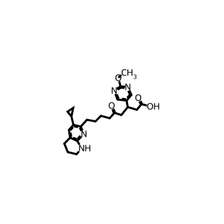 COc1ncc(C(CC(=O)O)CC(=O)CCCCc2nc3c(cc2C2CC2)CCCN3)cn1